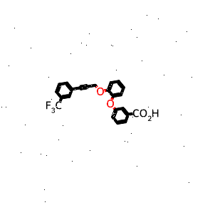 O=C(O)c1cccc(Oc2ccccc2OCC#Cc2cccc(C(F)(F)F)c2)c1